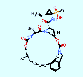 C=C[C@@H]1C[C@]1(NC(=O)[C@@H]1C[C@@H]2CN1C(=O)[C@H](C(C)(C)C)NC(=O)OC[C@H](C)CCCCc1cccc3c1CN(C3)C(=O)O2)P(=O)(O)CC